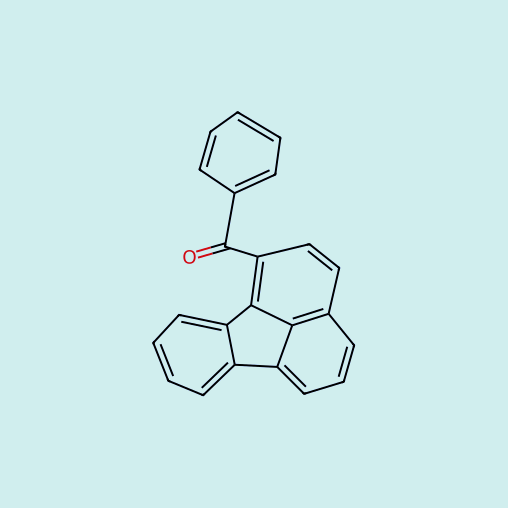 O=C(c1ccccc1)c1ccc2cccc3c2c1-c1ccccc1-3